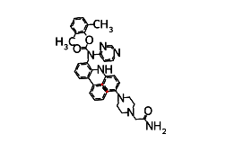 Cc1cccc(C)c1OC(=O)N(c1ccncn1)c1cccc(-c2ccccc2)c1Nc1ccc(N2CCN(CC(N)=O)CC2)cc1